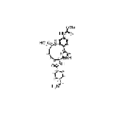 COC(=O)Nc1ccc2c(c1)N[C@@H](C(=O)O)CCCC[C@H](NC(=O)[C@H]1CC[C@H](CN)CC1)c1nc-2c[nH]1